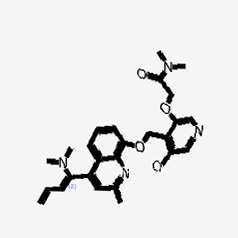 C=C/C=C(/c1cc(C)nc2c(OCc3c(Cl)cncc3OCC(=O)N(C)C)cccc12)N(C)C